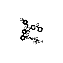 CC(c1cccc(-c2ccccc2C(=O)NCCN)c1)N(C(=O)Cc1ccc(Cl)cc1)C1CCN(C(=O)C2CCCCC2)CC1.O=C(O)C(F)(F)F